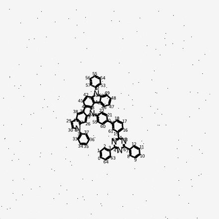 c1ccc(-c2nc(-c3ccccc3)nc(-c3cccc(-c4ccc(-n5c6cc7c(ccn7-c7ccccc7)cc6c6ccc7c(c8ccccc8n7-c7ccccc7)c65)cc4)c3)n2)cc1